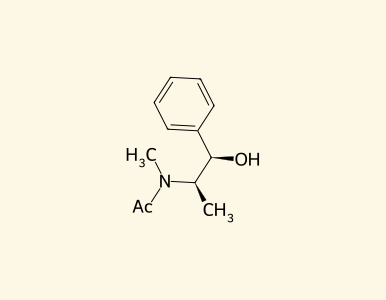 CC(=O)N(C)[C@H](C)[C@H](O)c1ccccc1